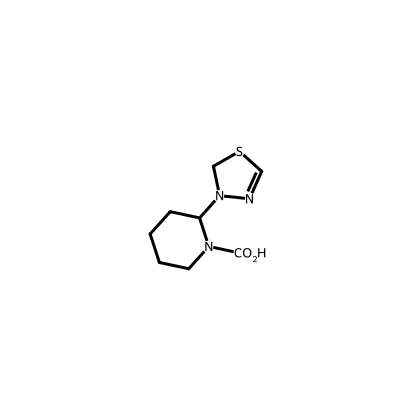 O=C(O)N1CCCCC1N1CSC=N1